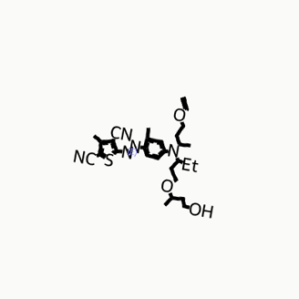 C=COCCC(C)N(c1ccc(/N=N/c2sc(C#N)c(C)c2C#N)c(C)c1)C(CC)CCOC(C)CCO